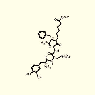 COC(=O)CCCCCN(C(=O)CNC(=O)[C@@H](CCSC)NC(=O)[C@H](N)Cc1ccc(O)c(C(C)(C)C)c1)[C@@H](Cc1ccccc1)C(N)=O.Cl